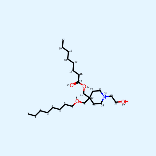 CCCCCCCCOCC1(COC(=O)CCCCCCC)CCN(CCO)CC1